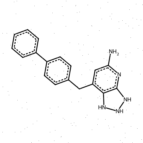 Nc1cc(Cc2ccc(-c3ccccc3)cc2)c2c(n1)NNN2